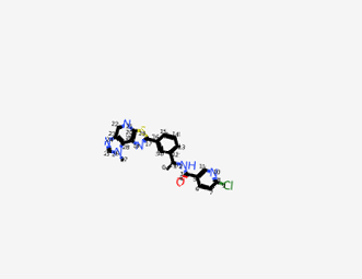 C[C@H](NC(=O)c1ccc(Cl)nc1)c1cccc(-c2nc3c(ncc4ncn(C)c43)s2)c1